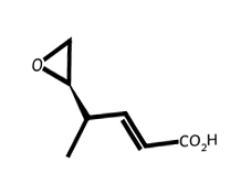 CC(/C=C/C(=O)O)[C@@H]1CO1